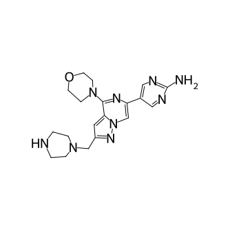 Nc1ncc(-c2cn3nc(CN4CCNCC4)cc3c(N3CCOCC3)n2)cn1